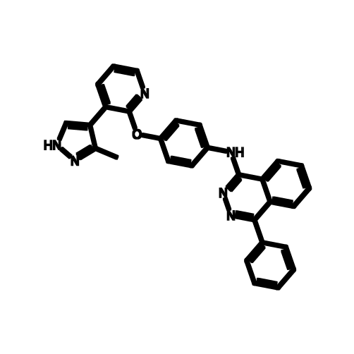 Cc1n[nH]cc1-c1cccnc1Oc1ccc(Nc2nnc(-c3ccccc3)c3ccccc23)cc1